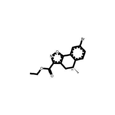 CCOC(=O)c1noc2c1C[C@@H](C)c1ccc(Br)cc1-2